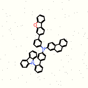 c1cc(-c2ccc3c(c2)oc2ccccc23)cc(N(c2ccc(-c3ccccc3-n3c4ccccc4c4ccccc43)cc2)c2ccc3c(ccc4ccccc43)c2)c1